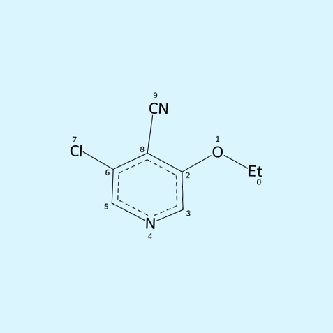 CCOc1cncc(Cl)c1C#N